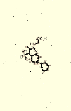 CC(C(=O)NCC(=O)O)C(c1ccc(-c2ccccc2)cc1)P(=O)(O)O